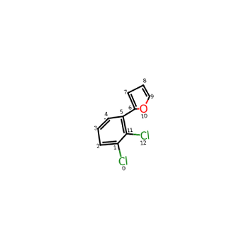 Clc1cc[c]c(-c2ccco2)c1Cl